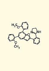 COc1ccccc1-c1cc(-c2ccccc2OC)c2oc(-c3ccccc3C3=NCCN3)cc2c1